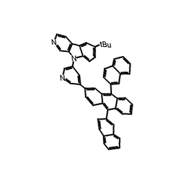 CC(C)(C)c1ccc2c(c1)c1ccncc1n2-c1cncc(-c2ccc3c(-c4ccc5ccccc5c4)c4ccccc4c(-c4ccc5ccccc5c4)c3c2)c1